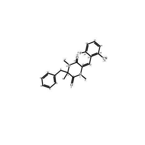 CN1C(=O)C(C)(Cc2ccccc2)N(C)C(=O)C1=Cc1c(F)cccc1C#N